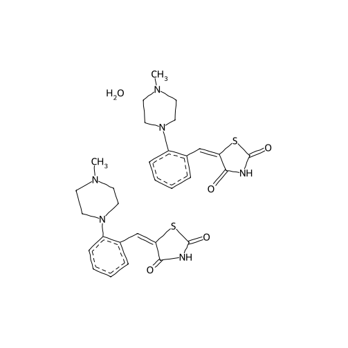 CN1CCN(c2ccccc2C=C2SC(=O)NC2=O)CC1.CN1CCN(c2ccccc2C=C2SC(=O)NC2=O)CC1.O